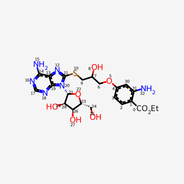 CCOC(=O)c1ccc(OCC(O)CSc2nc3c(N)ncnc3n2[C@@H]2O[C@H](CO)[C@@H](O)[C@H]2O)cc1N